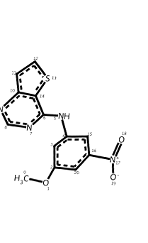 COc1cc(Nc2ncnc3ccsc23)cc([N+](=O)[O-])c1